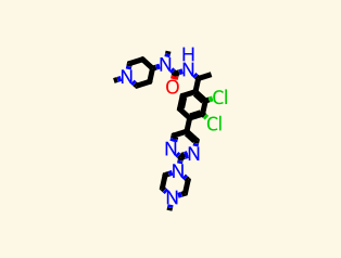 CC(NC(=O)N(C)C1CCN(C)CC1)c1ccc(-c2cnc(N3CCN(C)CC3)nc2)c(Cl)c1Cl